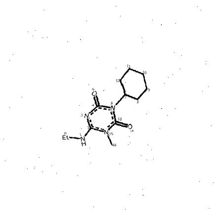 CCNc1nc(=O)n(C2CCCCC2)c(=O)n1C